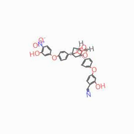 N#Cc1ccc(Oc2ccc([C@@]34C[C@H]5C[C@@](c6ccc(Oc7ccc([N+](=O)[O-])c(O)c7)cc6)(C3)O[C@H](O5)O4)cc2)cc1O